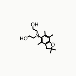 Cc1c(C)c(N(CCO)CCO)c(C)c2c1OC(C)(C)C2